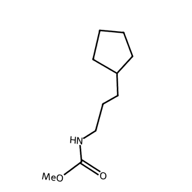 COC(=O)NCCCC1CCCC1